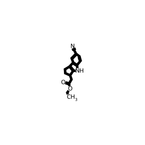 CCOC(=O)CC1CCc2c1[nH]c1ccc(C#N)cc21